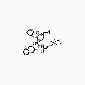 CN(C(=O)/C=C/CC(C)(C)N)[C@H](Cc1ccc2ccccc2c1)C(=O)N1CCN(CC2CC2)C(=O)[C@H]1Cc1ccccc1